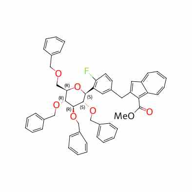 COC(=O)c1c(Cc2ccc(F)c([C@@H]3O[C@H](COCc4ccccc4)[C@@H](OCc4ccccc4)[C@H](OCc4ccccc4)[C@H]3OCc3ccccc3)c2)cc2cccccc1-2